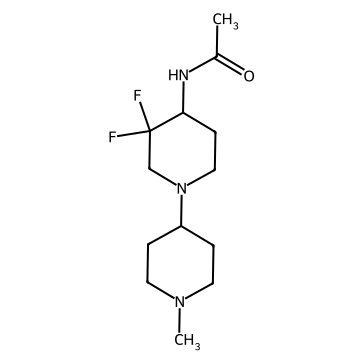 CC(=O)NC1CCN(C2CCN(C)CC2)CC1(F)F